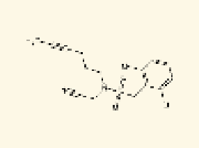 CC#CCCCN(CC#N)S(=O)(=O)Cc1c(Cl)cccc1Cl